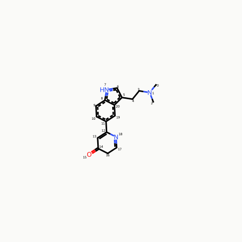 CN(C)CCc1c[nH]c2ccc(C3=CC(=O)CC=N3)cc12